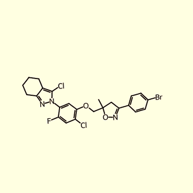 CC1(COc2cc(-n3nc4c(c3Cl)CCCC4)c(F)cc2Cl)CC(c2ccc(Br)cc2)=NO1